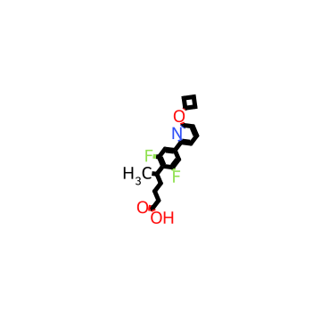 CC(CCCC(=O)O)c1c(F)cc(-c2cccc(OC3CCC3)n2)cc1F